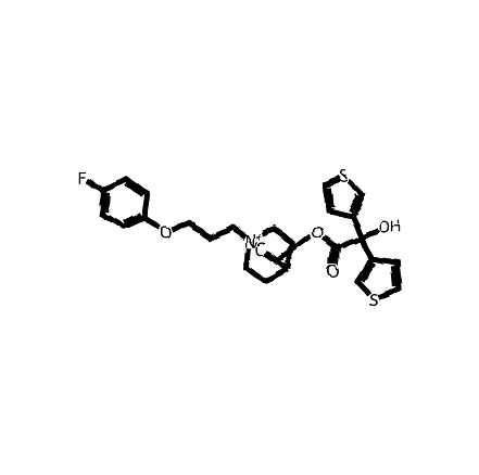 O=C(OC1C[N+]2(CCCOc3ccc(F)cc3)CCC1CC2)C(O)(c1ccsc1)c1ccsc1